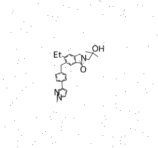 CCc1cc2c(cc1Cc1ccc(-c3ccn(C)n3)cc1)C(=O)N(CC(C)(C)O)C2